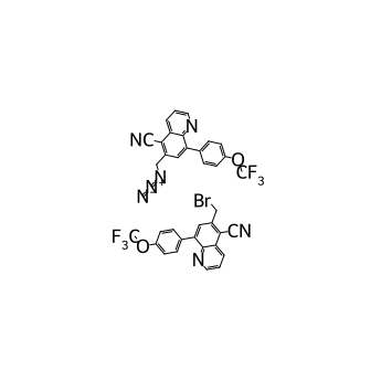 N#Cc1c(CBr)cc(-c2ccc(OC(F)(F)F)cc2)c2ncccc12.N#Cc1c(CN=[N+]=[N-])cc(-c2ccc(OC(F)(F)F)cc2)c2ncccc12